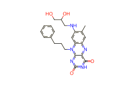 Cc1cc2nc3c(=O)[nH]c(=O)nc-3n(CCCc3ccccc3)c2cc1NCC(O)CO